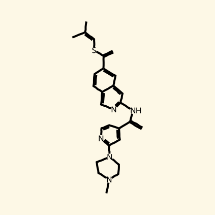 C=C(Nc1cc2cc(C(=C)SC=C(C)C)ccc2cn1)c1ccnc(N2CCN(C)CC2)c1